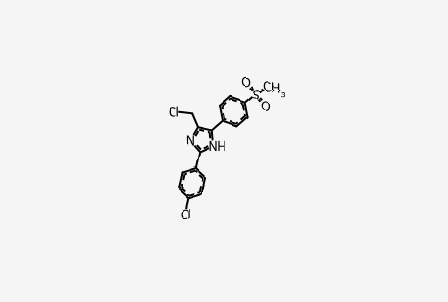 CS(=O)(=O)c1ccc(-c2[nH]c(-c3ccc(Cl)cc3)nc2CCl)cc1